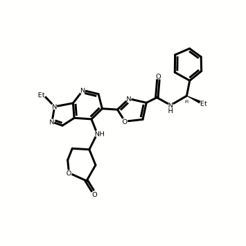 CC[C@@H](NC(=O)c1coc(-c2cnc3c(cnn3CC)c2NC2CCOC(=O)C2)n1)c1ccccc1